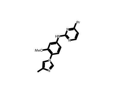 COc1cc(Nc2nccc(C(C)C)n2)ccc1-n1cnc(C)c1